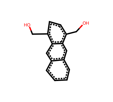 OCc1ccc(CO)c2cc3ccccc3cc12